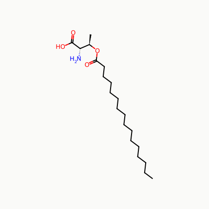 CCCCCCCCCCCCCCCC(=O)O[C@H](C)[C@H](N)C(=O)O